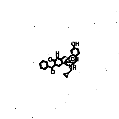 O=C(c1ccccc1)c1cc2c([nH]c1=O)C[C@]13CCN(CC4CC4)[C@H](Cc4ccc(O)cc41)[C@]3(O)C2